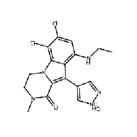 CCNc1cc(Cl)c(Cl)c2c1c(-c1cn[nH]c1)c1n2CCN(C)C1=O.Cl